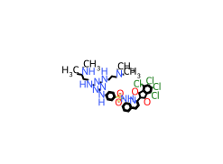 CCNC(CC)CCNc1nc(NCCCN(CC)CC)nc(Nc2ccc(S(=O)(=O)Nc3cccc4ccc(C5C(=O)c6c(Cl)c(Cl)c(Cl)c(Cl)c6C5=O)nc34)cc2)n1